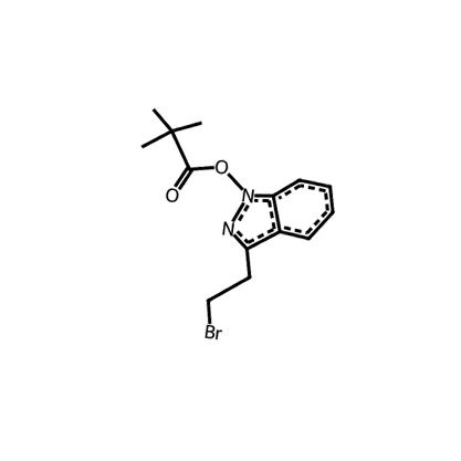 CC(C)(C)C(=O)On1nc(CCBr)c2ccccc21